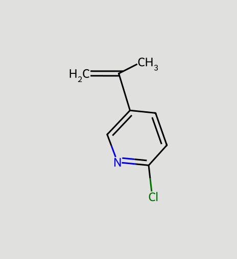 C=C(C)c1ccc(Cl)nc1